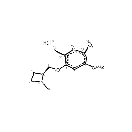 CC(=O)Nc1cc(OC[C@@H]2CCN2C)c(C)nc1Cl.Cl